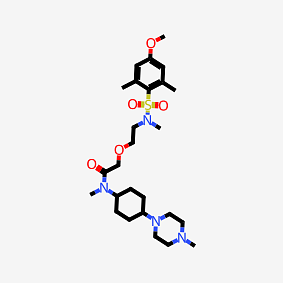 COc1cc(C)c(S(=O)(=O)N(C)CCOCC(=O)N(C)C2CCC(N3CCN(C)CC3)CC2)c(C)c1